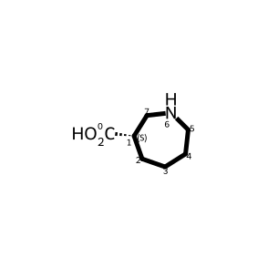 O=C(O)[C@H]1CCCCNC1